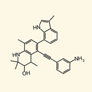 Cc1cc(-c2cccc3c(C)c[nH]c23)c(C#Cc2cccc(N)c2)c2c1NC(C)(C)C(O)C2C